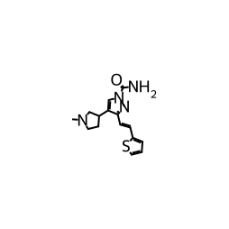 CN1CCC(c2cn(C(N)=O)nc2C=Cc2cccs2)C1